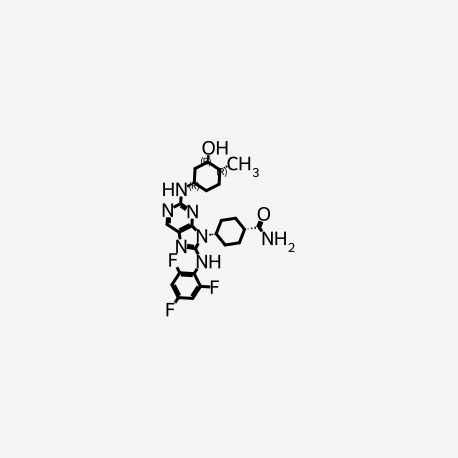 C[C@@H]1CC[C@@H](Nc2ncc3nc(Nc4c(F)cc(F)cc4F)n([C@H]4CC[C@@H](C(N)=O)CC4)c3n2)C[C@H]1O